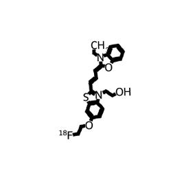 CCN1/C(=C/C=C/c2sc3cc(OCC[18F])ccc3[n+]2CCO)Oc2ccccc21